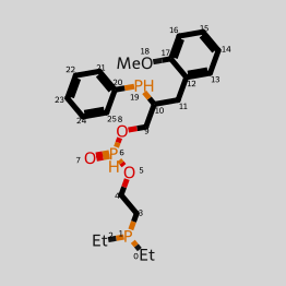 CCP(CC)CCO[PH](=O)OCC(Cc1ccccc1OC)Pc1ccccc1